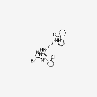 O=C(NCCCCNc1cc(-c2ccccc2Cl)nc2c(Br)cnn12)C1(c2ccccc2)CCCCC1